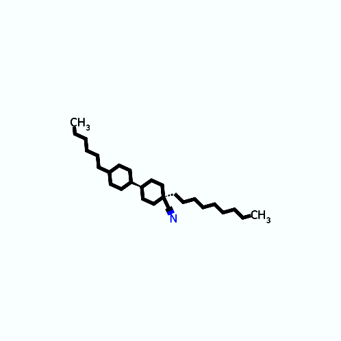 CCCCCCCCC[C@]1(C#N)CC[C@@H](C2CCC(CCCCCC)CC2)CC1